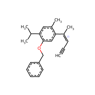 C#C/C=C(/C)c1cc(OCc2ccccc2)c(C(C)C)cc1C